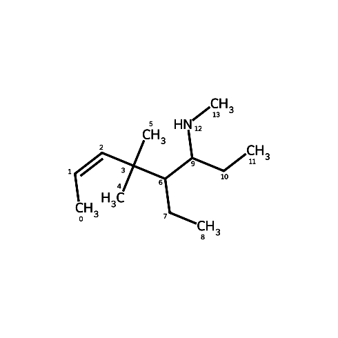 C/C=C\C(C)(C)C(CC)C(CC)NC